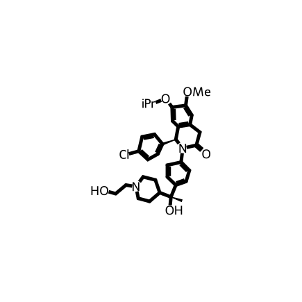 COc1cc2c(cc1OC(C)C)[C@H](c1ccc(Cl)cc1)N(c1ccc([C@](C)(O)C3CCN(CCO)CC3)cc1)C(=O)C2